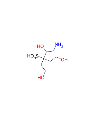 NCC(O)C(CCO)(CCO)S(=O)(=O)O